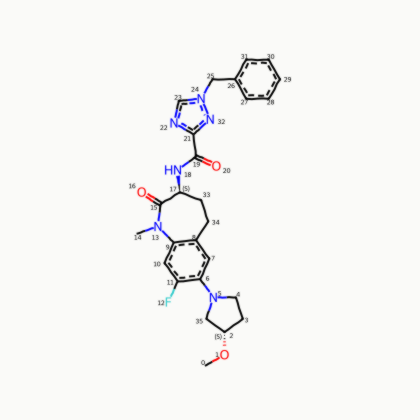 CO[C@H]1CCN(c2cc3c(cc2F)N(C)C(=O)[C@@H](NC(=O)c2ncn(Cc4ccccc4)n2)CC3)C1